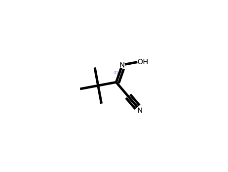 CC(C)(C)/C(C#N)=N/O